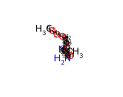 CCOCCOCCOCC1(c2ccc(Oc3cncc4sc(C(N)=O)c(C)c34)cc2)CC1